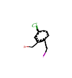 Clc1ccc(CI)c(CBr)c1